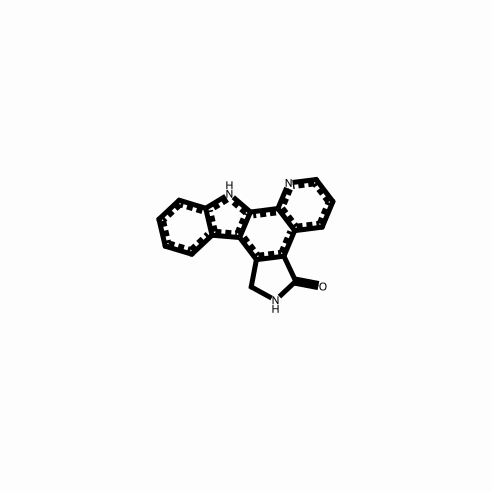 O=C1NCc2c1c1cccnc1c1[nH]c3ccccc3c21